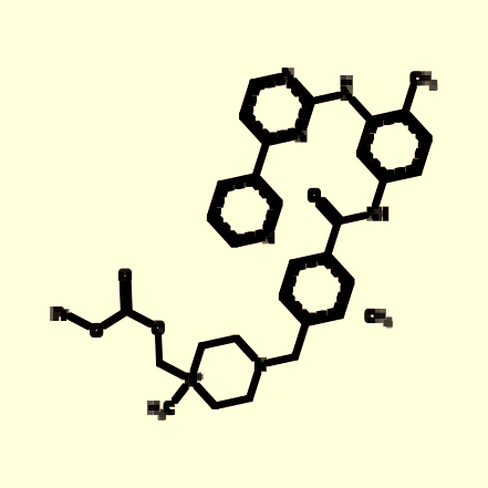 C.Cc1ccc(NC(=O)c2ccc(CN3CC[N+](C)(COC(=O)OC(C)C)CC3)cc2)cc1Nc1nccc(-c2cccnc2)n1